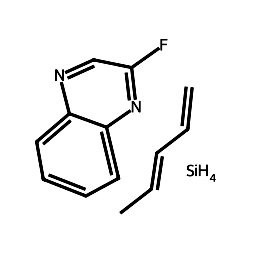 C=CC=CC.Fc1cnc2ccccc2n1.[SiH4]